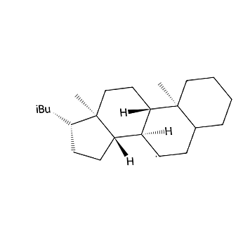 CC[C@@H](C)[C@H]1CC[C@H]2[C@@H]3[CH]CC4CCCC[C@]4(C)[C@H]3CC[C@]12C